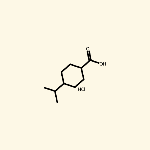 CC(C)C1CCC(C(=O)O)CC1.Cl